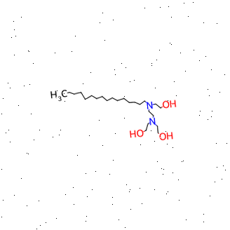 CCCCCCCCCCCCCCCCN(CCO)CCN(CCO)CCO